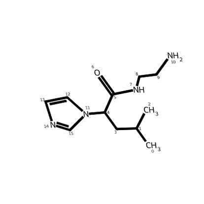 CC(C)CC(C(=O)NCCN)n1ccnc1